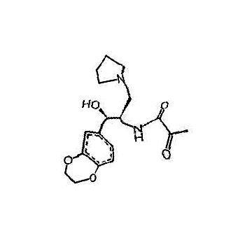 CC(=O)C(=O)N[C@H](CN1CCCC1)[C@H](O)c1ccc2c(c1)OCCO2